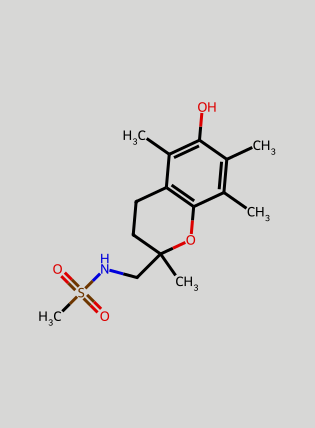 Cc1c(C)c2c(c(C)c1O)CCC(C)(CNS(C)(=O)=O)O2